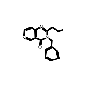 CCCc1nc2ccncc2c(=O)n1Cc1ccccc1